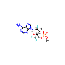 CC(C)OP1(=O)OC[C@@]2(C(F)F)O[C@@H](n3cnc4c(N)ncnc43)[C@@H](F)[C@@H]2O1